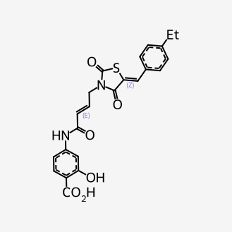 CCc1ccc(/C=C2\SC(=O)N(C/C=C/C(=O)Nc3ccc(C(=O)O)c(O)c3)C2=O)cc1